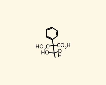 CC(O)(O)C(C(=O)O)(C(=O)O)c1ccccc1